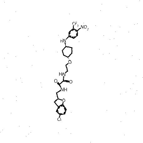 O=C(NCCO[C@H]1CC[C@H](Nc2ccc([N+](=O)[O-])c(C(F)(F)F)c2)CC1)C(=O)NCC1Cc2cc(Cl)ccc2O1